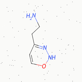 NCCC1=NNOC=C1